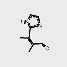 CC(C=O)=C(C)c1ncc[nH]1